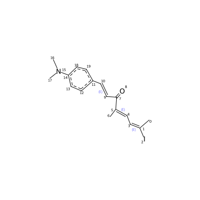 C/C(I)=C\C=C(/C)C(=O)/C=C/c1ccc(N(C)C)cc1